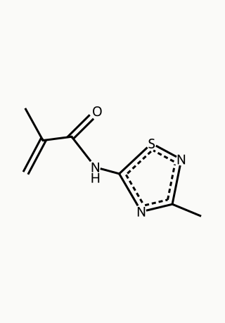 C=C(C)C(=O)Nc1nc(C)ns1